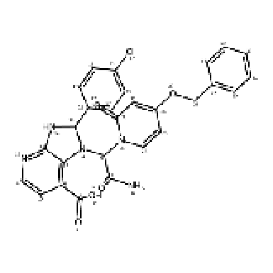 NC(=O)C(N1c2c(C(=O)O)ccnc2NC1c1ccc(Cl)cc1)n1ccc(OCc2ccccc2)cc1=O